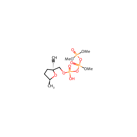 C#C[C@@]1(COP(=O)(O)OP(=O)(OC)OP(=O)(OC)OC)CC[C@H](C)O1